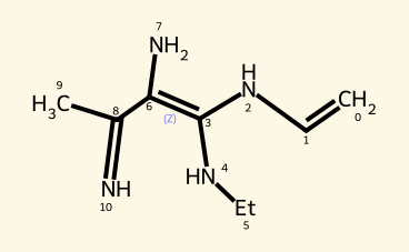 C=CN/C(NCC)=C(\N)C(C)=N